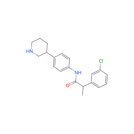 CC(C(=O)Nc1ccc(C2CCCNC2)cc1)c1cccc(Cl)c1